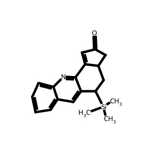 C[Si](C)(C)C1CC2CC(=O)C=C2c2nc3ccccc3cc21